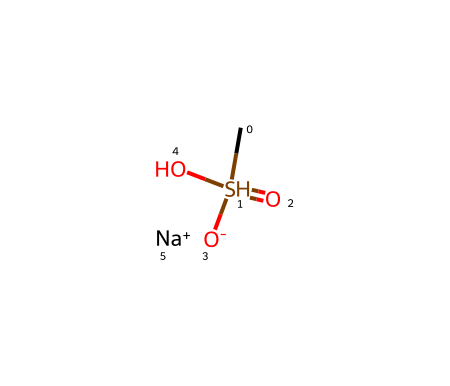 C[SH](=O)([O-])O.[Na+]